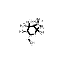 NO[C@@]1(N)C(N)(O)O[C@H](CO)[C@@H](O)[C@]1(N)O